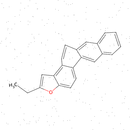 CCc1cc2c(ccc3c4cc5ccccc5cc4ccc23)o1